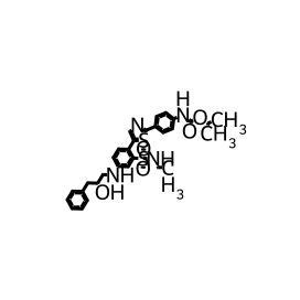 CCNS(=O)(=O)c1cc(NCC(O)Cc2ccccc2)ccc1-c1cnc(-c2ccc(NC(=O)OC(C)C)cc2)s1